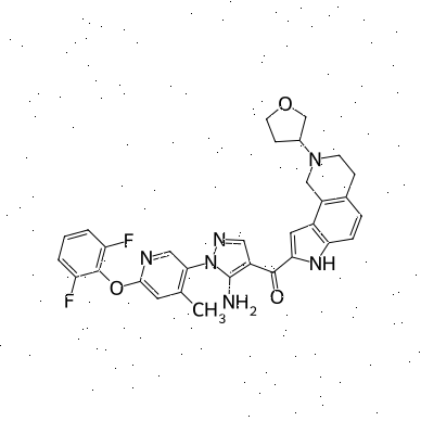 Cc1cc(Oc2c(F)cccc2F)ncc1-n1ncc(C(=O)c2cc3c4c(ccc3[nH]2)CCN(C2CCOC2)C4)c1N